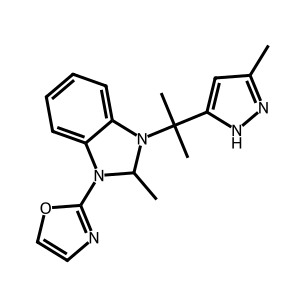 Cc1cc(C(C)(C)N2c3ccccc3N(c3ncco3)C2C)[nH]n1